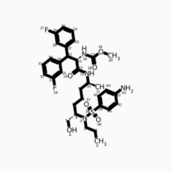 CCCN([C@H](CO)CCC[C@H](C)NC(=O)[C@@H](NC(=O)OC)C(c1cccc(F)c1)c1cccc(F)c1)S(=O)(=O)c1ccc(N)cc1